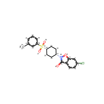 O=c1c2ccc(Cl)cc2on1[C@H]1CC[C@@H](S(=O)(=O)c2cccc(C(F)(F)F)c2)CC1